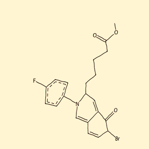 COC(=O)CCCCC1C=C2C(=O)C(Br)C=CC2=CN1c1ccc(F)cc1